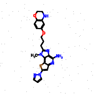 Cn1c(CCCOc2ccc3c(c2)NCCO3)nc2c(N)nc3cc(-n4cccn4)sc3c21